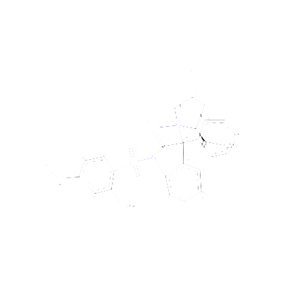 CNC(=O)[C@@H]1C[C@@H](F)C[N+]1(C)C1(c2ccccc2OC)C(=O)N(S(=O)(=O)c2ccc(OC(F)(F)F)cc2OC)c2ccc(Cl)cc21